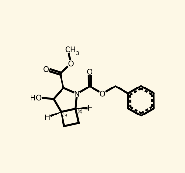 COC(=O)C1C(O)[C@H]2CC[C@H]2N1C(=O)OCc1ccccc1